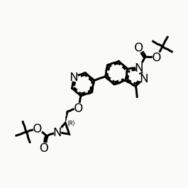 Cc1nn(C(=O)OC(C)(C)C)c2ccc(-c3cncc(OC[C@H]4CN4C(=O)OC(C)(C)C)c3)cc12